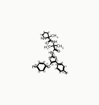 CC(C)(NC(=O)C1(C)CCCN1)C(=O)Nc1nc(-c2ccc(F)cc2)c(Oc2ccc(F)cc2)s1